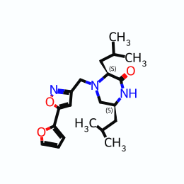 CC(C)C[C@H]1CN(Cc2cc(-c3ccco3)on2)[C@@H](CC(C)C)C(=O)N1